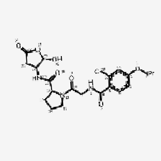 CC(C)Oc1ccc(C(=O)NCC(=O)N2CCC[C@H]2C(=O)N[C@H]2CC(=O)O[C@H]2O)c(Cl)c1